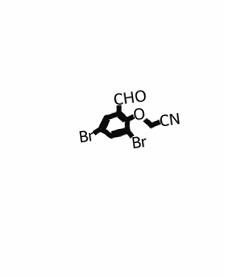 N#CCOc1c(Br)cc(Br)cc1C=O